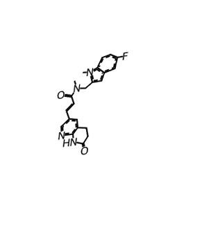 CN(Cc1cc2cc(F)ccc2n1C)C(=O)C=Cc1cnc2c(c1)CCC(=O)N2